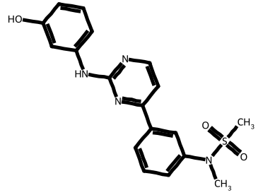 CN(c1cccc(-c2ccnc(Nc3cccc(O)c3)n2)c1)S(C)(=O)=O